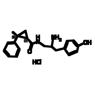 C[C@@]1(c2ccccc2)C[C@H]1C(=O)NCC(N)Cc1ccc(O)cc1.Cl